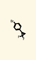 FC1(F)C=C1c1ccc(Br)cc1